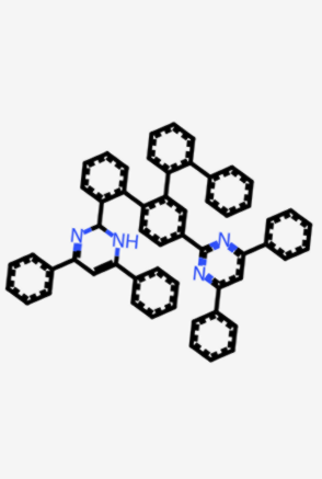 C1=C(c2ccccc2)NC(c2ccccc2-c2ccc(-c3nc(-c4ccccc4)cc(-c4ccccc4)n3)cc2-c2ccccc2-c2ccccc2)N=C1c1ccccc1